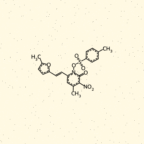 Cc1ccc(S(=O)(=O)On2c(/C=C/c3ccc(C)o3)cc(C)c([N+](=O)[O-])c2=O)cc1